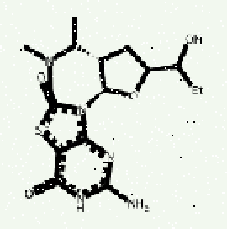 CCC(O)[C@@H]1C[C@@H](C(C)N(C)C)[C@H](n2c(=O)sc3c(=O)[nH]c(N)nc32)O1